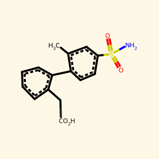 Cc1cc(S(N)(=O)=O)ccc1-c1ccccc1CC(=O)O